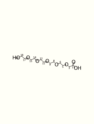 O=C(O)COCCOCCOCCOCCOCCO